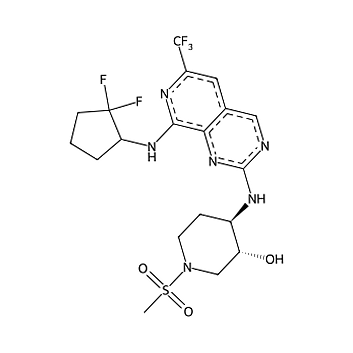 CS(=O)(=O)N1CC[C@@H](Nc2ncc3cc(C(F)(F)F)nc(NC4CCCC4(F)F)c3n2)[C@H](O)C1